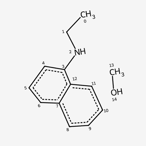 CCNc1cccc2ccccc12.CO